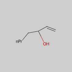 C=CC(O)CCCC